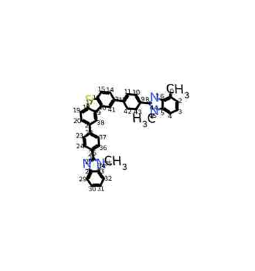 Cc1cccc2c1nc(C1=CC=C(c3ccc4sc5ccc(-c6ccc(-c7nc8ccccc8n7C)cc6)cc5c4c3)CC1)n2C